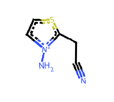 N#CCc1scc[n+]1N